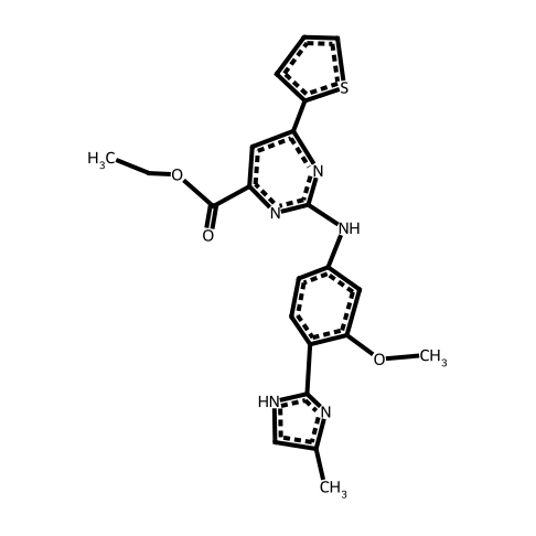 CCOC(=O)c1cc(-c2cccs2)nc(Nc2ccc(-c3nc(C)c[nH]3)c(OC)c2)n1